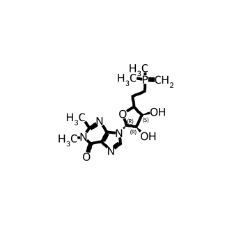 C=P(C)(C)CCC1O[C@@H](n2cnc3c(=O)n(C)c(C)nc32)[C@H](O)[C@@H]1O